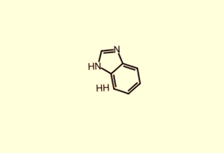 [HH].c1ccc2[nH]cnc2c1